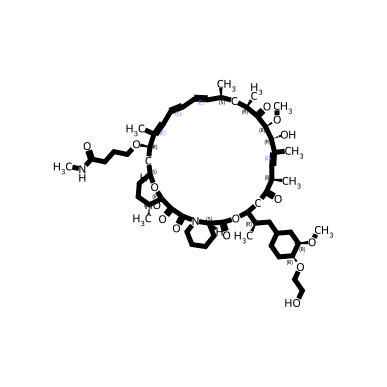 CNC(=O)CCCO[C@@H]1C[C@@H]2CC[C@@H](C)[C@@](O)(O2)C(=O)C(=O)N2CCCC[C@H]2C(=O)OC([C@H](C)CC2CC[C@@H](OCCO)[C@H](OC)C2)CC(=O)[C@H](C)/C=C(\C)[C@@H](O)[C@@H](OC)C(=O)[C@H](C)C[C@H](C)/C=C/C=C/C=C/1C